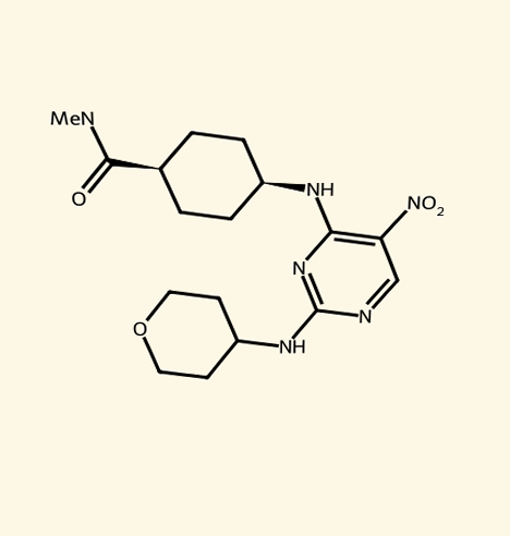 CNC(=O)[C@H]1CC[C@@H](Nc2nc(NC3CCOCC3)ncc2[N+](=O)[O-])CC1